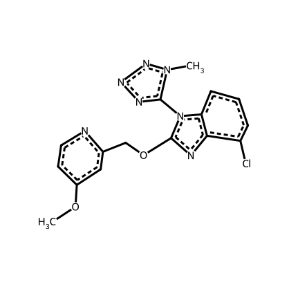 COc1ccnc(COc2nc3c(Cl)cccc3n2-c2nnnn2C)c1